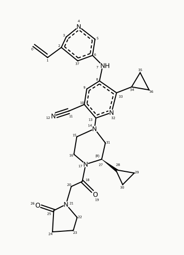 C=Cc1cncc(Nc2cc(C#N)c(N3CCN(C(=O)CN4CCCC4=O)[C@H](C4CC4)C3)nc2C2CC2)c1